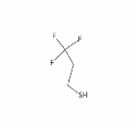 FC(F)(F)C[CH]S